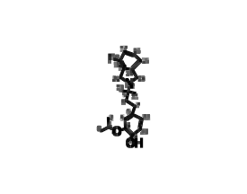 CC(C)Oc1cc(CCC(C)(C)N2Cc3cccc(F)c3C2)ccc1O